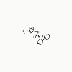 Cc1nsc(NC(=O)Nc2ccccc2N2CCCCC2)n1